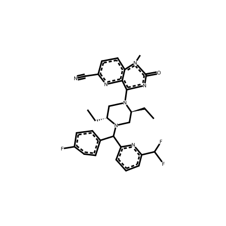 CC[C@H]1CN(C(c2ccc(F)cc2)c2cccc(C(F)F)n2)[C@H](CC)CN1c1nc(=O)n(C)c2ccc(C#N)nc12